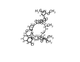 COc1nn(C)cc1C(=O)N[S@@]1(=O)=NC(=O)c2ccc3c(c2)N(C[C@@H]2CC[C@H]2[C@](O)(CC(=O)N(C)C)/C=C/C[C@H](C)C1)C[C@@]1(CCCc2cc(Cl)ccc21)CO3